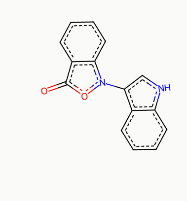 O=c1on(-c2c[nH]c3ccccc23)c2ccccc12